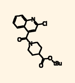 CC(C)(C)OC(=O)C1CCN(C(=O)c2cc(Cl)nc3ccccc23)CC1